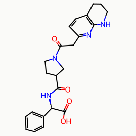 O=C(N[C@@H](C(=O)O)c1ccccc1)C1CCN(C(=O)Cc2ccc3c(n2)NCCC3)C1